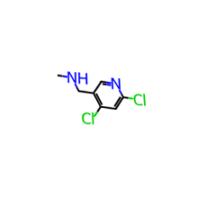 CNCc1cnc(Cl)cc1Cl